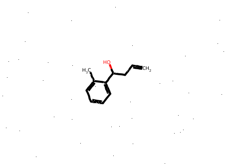 C=CCC(O)c1ccccc1C